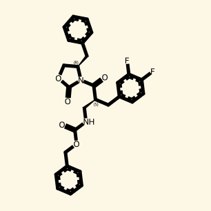 O=C(NC[C@H](Cc1ccc(F)c(F)c1)C(=O)N1C(=O)OC[C@H]1Cc1ccccc1)OCc1ccccc1